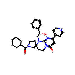 O=C(C1CCCCC1)N1CCC2(CCn3c(nc(-c4ccncc4)cc3=O)N2C[C@@H](O)c2ccccc2)C1